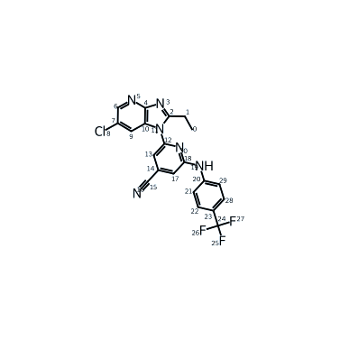 CCc1nc2ncc(Cl)cc2n1-c1cc(C#N)cc(Nc2ccc(C(F)(F)F)cc2)n1